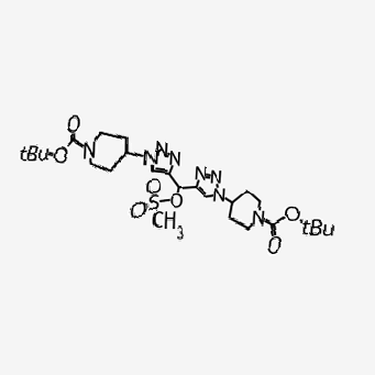 CC(C)(C)OC(=O)N1CCC(n2cc(C(OS(C)(=O)=O)c3cn(C4CCN(C(=O)OC(C)(C)C)CC4)nn3)nn2)CC1